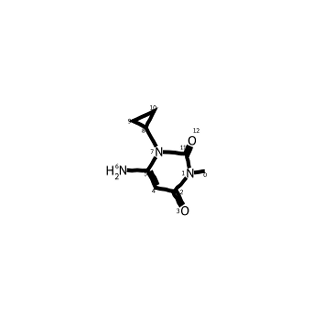 Cn1c(=O)cc(N)n(C2CC2)c1=O